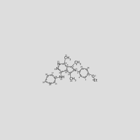 CCOc1ccc(-n2c(C)c3c(C)nnc(Nc4ccccc4)c3c2C)cc1